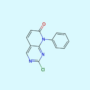 O=c1ccc2cnc(Cl)nc2n1-c1ccccc1